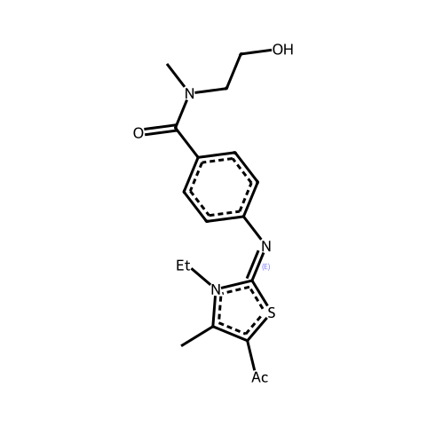 CCn1c(C)c(C(C)=O)s/c1=N/c1ccc(C(=O)N(C)CCO)cc1